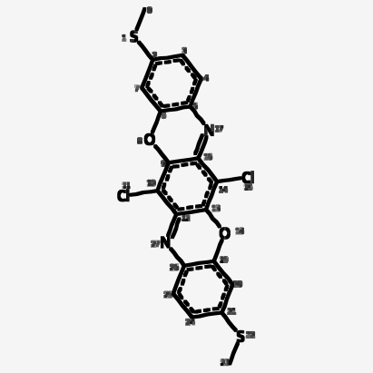 CSc1ccc2c(c1)Oc1c(Cl)c3c(c(Cl)c1=N2)Oc1cc(SC)ccc1N=3